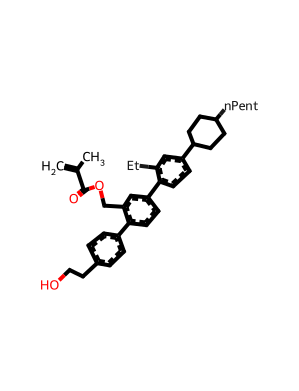 C=C(C)C(=O)OCc1cc(-c2ccc(C3CCC(CCCCC)CC3)cc2CC)ccc1-c1ccc(CCO)cc1